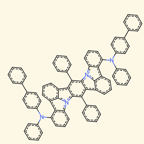 c1ccc(-c2ccc(N(c3ccccc3)c3cccc4c3c3cccc5c6c(-c7ccccc7)c7c(c(-c8ccccc8)c6n4c35)c3cccc4c5c(N(c6ccccc6)c6ccc(-c8ccccc8)cc6)cccc5n7c43)cc2)cc1